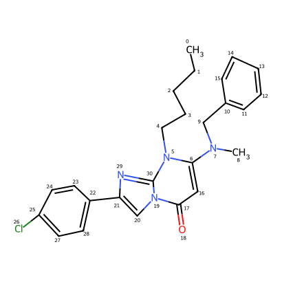 CCCCCn1c(N(C)Cc2ccccc2)cc(=O)n2cc(-c3ccc(Cl)cc3)nc12